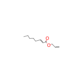 C=CCOC(=O)/C=C/CCCCC